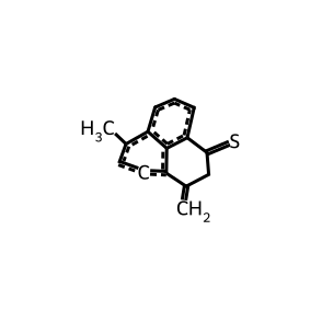 C=C1CC(=S)c2cccc3c(C)ccc1c23